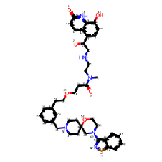 CN(CCNCC(O)c1ccc(O)c2[nH]c(=O)ccc12)C(=O)CCOCCc1cccc(CN2CCC3(CC2)CN(c2nsc4ccccc24)CCO3)c1